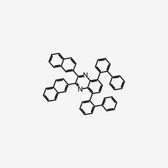 c1ccc(-c2ccccc2-c2ccc(-c3ccccc3-c3ccccc3)c3nc(-c4ccc5ccccc5c4)c(-c4ccc5ccccc5c4)nc23)cc1